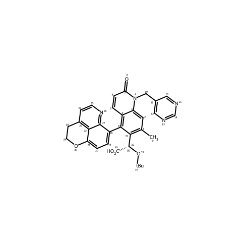 Cc1cc2c(ccc(=O)n2Cc2cncnc2)c(-c2ccc3c4c(ccnc24)CCO3)c1[C@H](OC(C)(C)C)C(=O)O